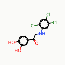 O=C(CNc1cc(Cl)c(Cl)cc1Cl)c1ccc(O)c(O)c1